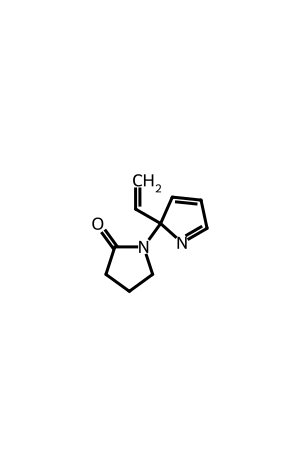 C=CC1(N2CCCC2=O)C=CC=N1